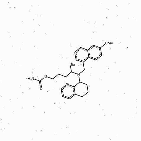 COc1ccc2c(CN(C3CCCc4cccnc43)C(CCCOC(N)=O)C(C)(C)C)nccc2c1